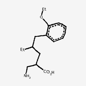 CCOc1ccccc1CC(CC)CC(CN)C(=O)O